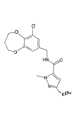 Cn1nc(C(C)(C)C)cc1C(=O)NCc1cc(Cl)c2c(c1)OCCCO2